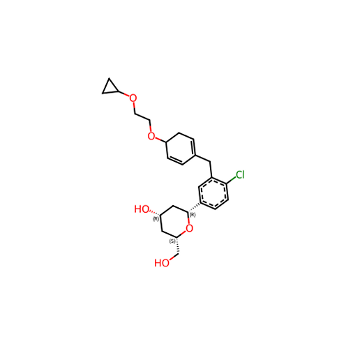 OC[C@@H]1C[C@H](O)C[C@H](c2ccc(Cl)c(CC3=CCC(OCCOC4CC4)C=C3)c2)O1